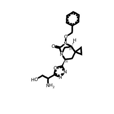 NC(CO)c1nnc([C@@H]2CC3(CC3)[C@H]3CN2C(=O)N3OCc2ccccc2)o1